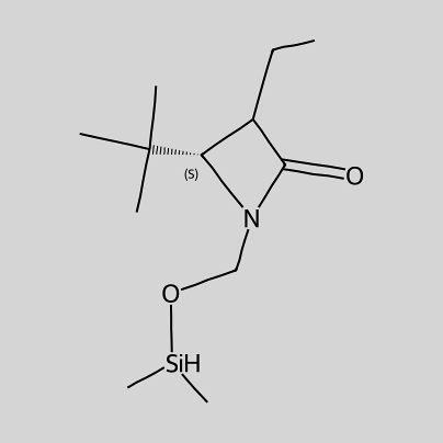 CCC1C(=O)N(CO[SiH](C)C)[C@@H]1C(C)(C)C